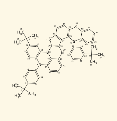 CC(C)(C)c1ccc(N2c3ccc(C(C)(C)C)cc3B3c4sc5ccc6c(c5c4N(c4ccc(C(C)(C)C)cc4)c4cccc2c43)Sc2ccccc2S6)cc1